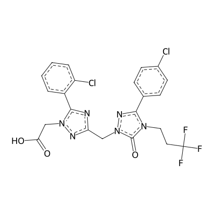 O=C(O)Cn1nc(Cn2nc(-c3ccc(Cl)cc3)n(CCC(F)(F)F)c2=O)nc1-c1ccccc1Cl